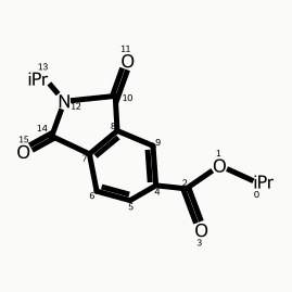 CC(C)OC(=O)c1ccc2c(c1)C(=O)N(C(C)C)C2=O